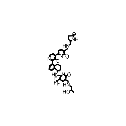 COc1nc(-c2ccnc(-c3cccc4c3CCC[C@H]4Nc3nc(OC)c(CNCC(C)O)cc3C(F)(F)F)c2Cl)ccc1CNC[C@H]1CCC(=O)N1